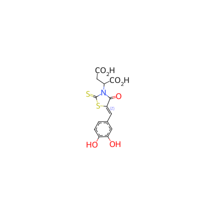 O=C(O)CC(C(=O)O)N1C(=O)/C(=C/c2ccc(O)c(O)c2)SC1=S